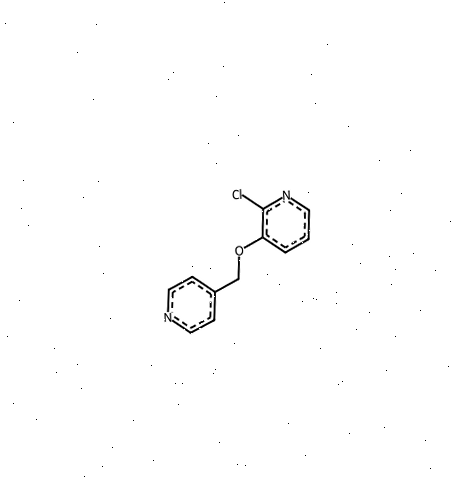 Clc1ncccc1OCc1ccncc1